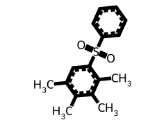 Cc1cc(S(=O)(=O)c2ccccc2)c(C)c(C)c1C